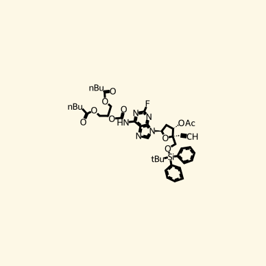 C#C[C@]1(CO[Si](c2ccccc2)(c2ccccc2)C(C)(C)C)O[C@@H](n2cnc3c(NC(=O)OC(COC(=O)CCCC)COC(=O)CCCC)nc(F)nc32)C[C@@H]1OC(C)=O